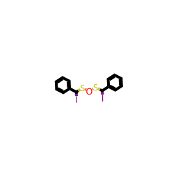 IC(SOSC(I)c1ccccc1)c1ccccc1